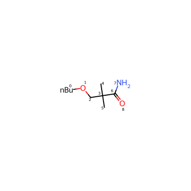 CCCCOCC(C)(C)C(N)=O